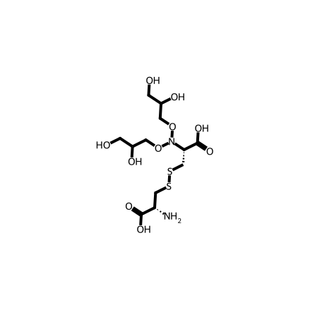 N[C@@H](CSSC[C@@H](C(=O)O)N(OCC(O)CO)OCC(O)CO)C(=O)O